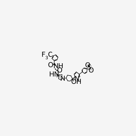 CS(=O)(=O)c1ccc(-c2ccc(C3(O)CCC(N4CC[C@@H](NC(=O)CNC(=O)c5cccc(C(F)(F)F)c5)C4)CC3)nc2)cc1